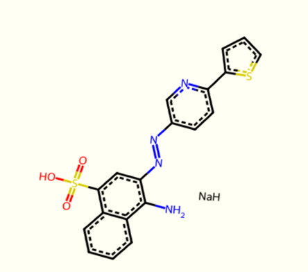 Nc1c(N=Nc2ccc(-c3cccs3)nc2)cc(S(=O)(=O)O)c2ccccc12.[NaH]